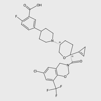 O=C(O)c1cc(C2CCN([C@@H]3CC[C@@](C(=O)N4COc5c(cc(Cl)cc5C(F)(F)F)C4)(C4=CC4)OC3)CC2)ccc1F